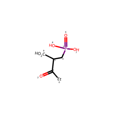 CCC(=O)C(CP(=O)(O)O)C(=O)O